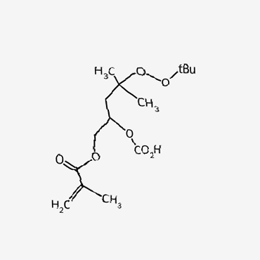 C=C(C)C(=O)OCC(CC(C)(C)OOC(C)(C)C)OC(=O)O